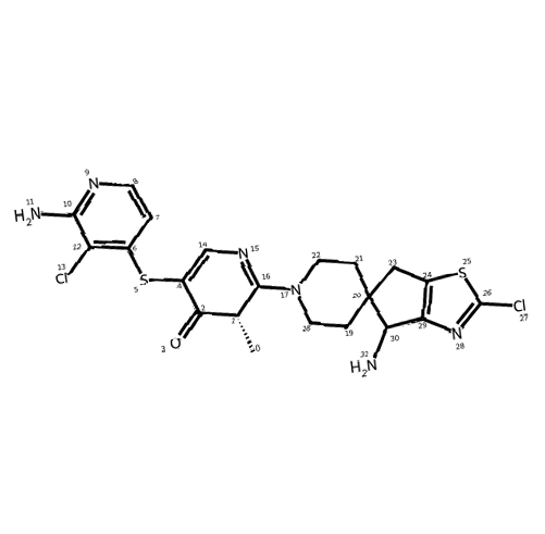 C[C@@H]1C(=O)C(Sc2ccnc(N)c2Cl)=CN=C1N1CCC2(CC1)Cc1sc(Cl)nc1C2N